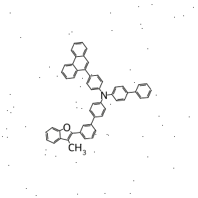 Cc1c(-c2cccc(-c3ccc(N(c4ccc(-c5ccccc5)cc4)c4ccc(-c5cc6ccccc6c6ccccc56)cc4)cc3)c2)oc2ccccc12